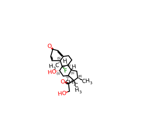 C[C@@H]1C[C@H]2[C@@H]3CCC4=CC(=O)C=C[C@]4(C)[C@@]3(F)[C@@H](O)C[C@]2(C)[C@@]1(C)C(=O)CO